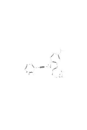 CN1CCc2c(c3cc(F)ccc3n2C#Cc2cccnc2)C1